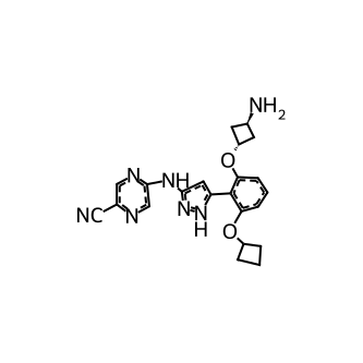 N#Cc1cnc(Nc2cc(-c3c(OC4CCC4)cccc3O[C@H]3C[C@H](N)C3)[nH]n2)cn1